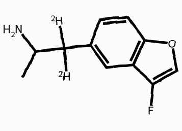 [2H]C([2H])(c1ccc2occ(F)c2c1)C(C)N